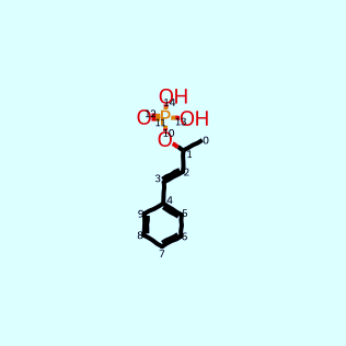 CC(C=Cc1ccccc1)OP(=O)(O)O